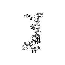 CCCCC(CC)Cc1cc(-c2ccc(-c3ccc(-c4ccc(-c5cc(CC(CC)CCCC)c(-c6cccs6)s5)c5nsnc45)s3)c3nsnc23)sc1-c1cccs1